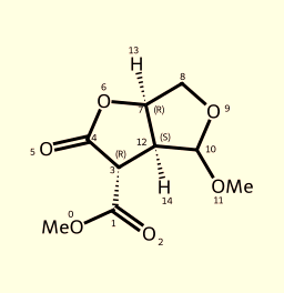 COC(=O)[C@@H]1C(=O)O[C@H]2COC(OC)[C@@H]12